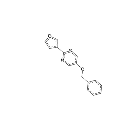 c1ccc(COc2cnc(-c3ccoc3)nc2)cc1